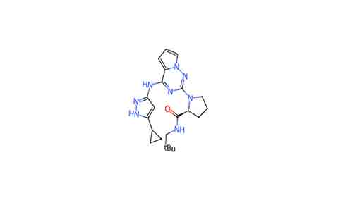 CC(C)(C)CNC(=O)[C@@H]1CCCN1c1nc(Nc2cc(C3CC3)[nH]n2)c2cccn2n1